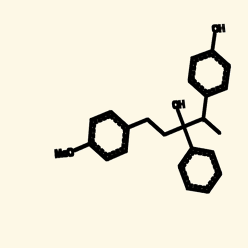 COc1ccc(CCC(O)([C](C)c2ccc(O)cc2)c2ccccc2)cc1